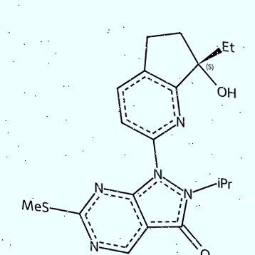 CC[C@]1(O)CCc2ccc(-n3c4nc(SC)ncc4c(=O)n3C(C)C)nc21